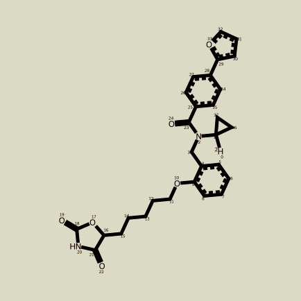 [2H]C1(N(Cc2ccccc2OCCCCCC2OC(=O)NC2=O)C(=O)c2ccc(-c3ccco3)cc2)CC1